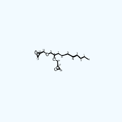 CCCCCCCCC(COCC1CO1)OCC1CO1